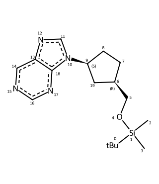 CC(C)(C)[Si](C)(C)OC[C@@H]1CC[C@H](n2cnc3cncnc32)C1